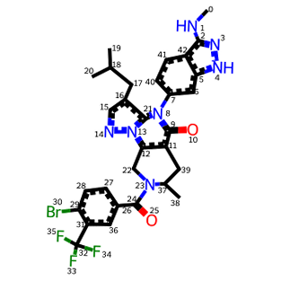 CNc1n[nH]c2cc(-n3c(=O)c4c(n5ncc(CC(C)C)c35)CN(C(=O)c3ccc(Br)c(C(F)(F)F)c3)C(C)C4)ccc12